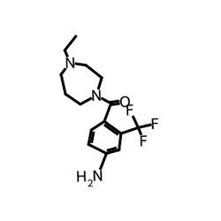 CCN1CCCN(C(=O)c2ccc(N)cc2C(F)(F)F)CC1